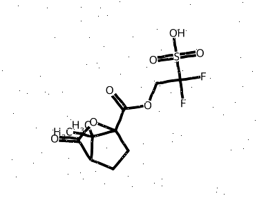 CC1(C)C2CCC1(C(=O)OCC(F)(F)S(=O)(=O)O)OC2=O